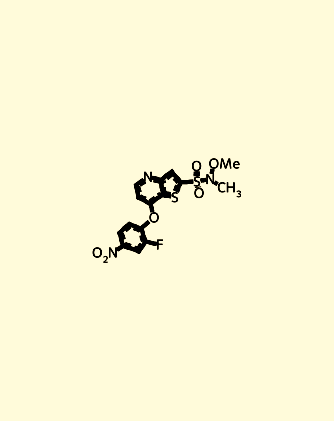 CON(C)S(=O)(=O)c1cc2nccc(Oc3ccc([N+](=O)[O-])cc3F)c2s1